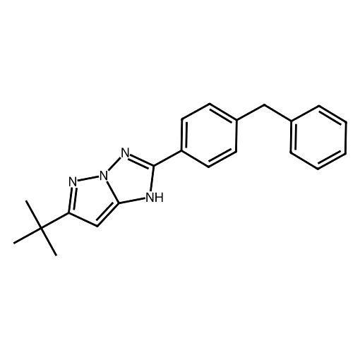 CC(C)(C)c1cc2[nH]c(-c3ccc(Cc4ccccc4)cc3)nn2n1